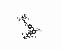 Cc1ccc([C@H]2[C@H](O)[C@H](O)[C@H](O)C[SH]2C)cc1Cc1ccc(OCCCNC(C)(C)CO)cc1